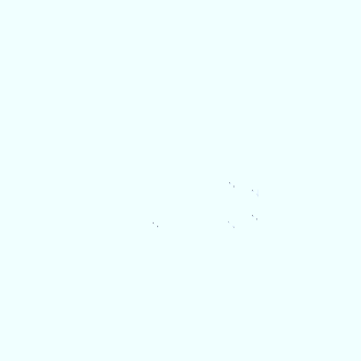 c1ccc(-n2nnnc2SCN2CCOCC2)cc1